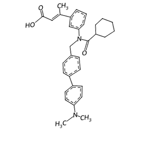 CC(=CC(=O)O)c1cccc(N(Cc2ccc(-c3ccc(N(C)C)cc3)cc2)C(=O)C2CCCCC2)c1